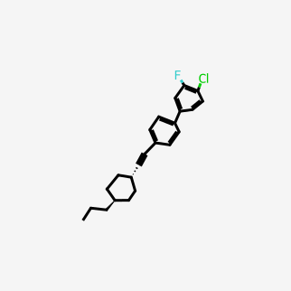 CCC[C@H]1CC[C@H](C#Cc2ccc(-c3ccc(Cl)c(F)c3)cc2)CC1